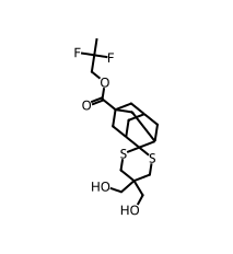 CC(F)(F)COC(=O)C12CC3CC(C1)C1(SCC(CO)(CO)CS1)C(C3)C2